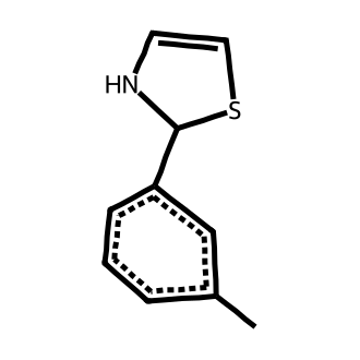 Cc1cccc(C2NC=CS2)c1